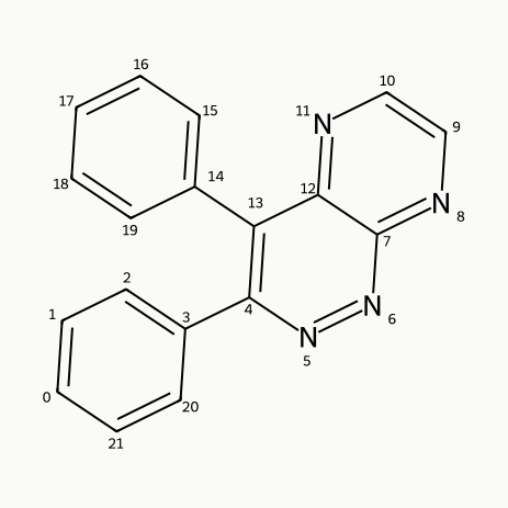 c1ccc(-c2nnc3nccnc3c2-c2ccccc2)cc1